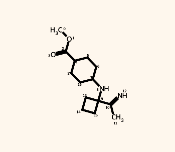 COC(=O)C1CCC(NC2(C(C)=N)CCC2)CC1